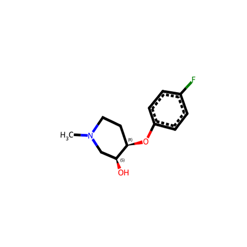 CN1CC[C@@H](Oc2ccc(F)cc2)[C@@H](O)C1